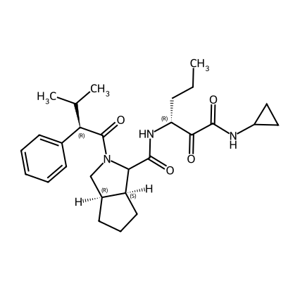 CCC[C@@H](NC(=O)C1[C@H]2CCC[C@H]2CN1C(=O)[C@@H](c1ccccc1)C(C)C)C(=O)C(=O)NC1CC1